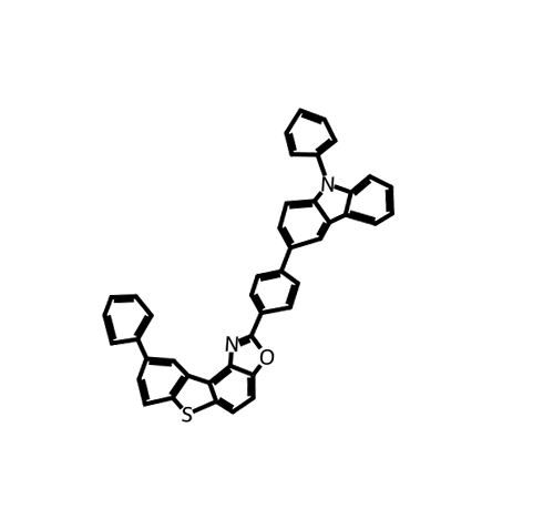 c1ccc(-c2ccc3sc4ccc5oc(-c6ccc(-c7ccc8c(c7)c7ccccc7n8-c7ccccc7)cc6)nc5c4c3c2)cc1